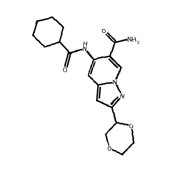 NC(=O)c1cn2nc(C3COCCO3)cc2cc1NC(=O)C1CCCCC1